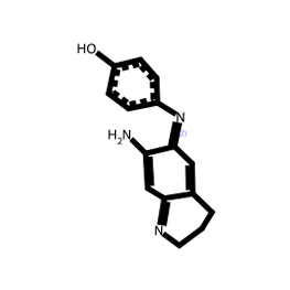 NC1=CC2=NCCCC2=C/C1=N/c1ccc(O)cc1